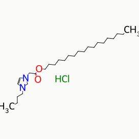 CCCCCCCCCCCCCCCCCCOC(=O)CN1C=CN(CCCC)C1.Cl